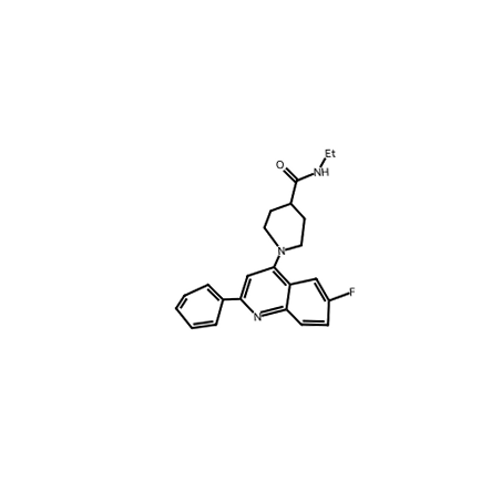 CCNC(=O)C1CCN(c2cc(-c3ccccc3)nc3ccc(F)cc23)CC1